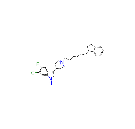 Fc1cc2c(C3=CCN(CCCCCCC4CCc5ccccc54)CC3)c[nH]c2cc1Cl